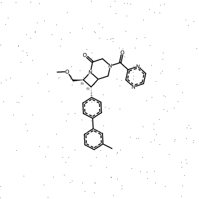 COC[C@@H]1[C@@H](c2ccc(-c3cccc(C)c3)cc2)C2CN(C(=O)c3cnccn3)CC(=O)N21